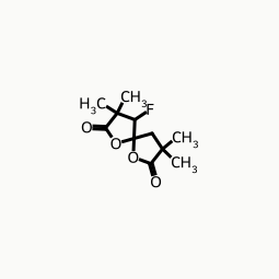 CC1(C)CC2(OC1=O)OC(=O)C(C)(C)C2F